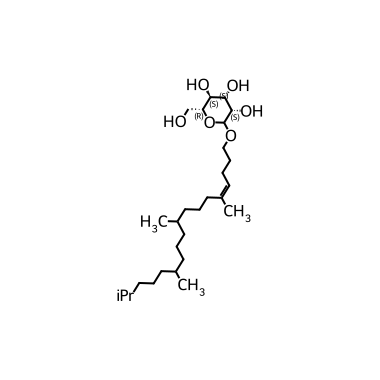 CC(=CCCCOC1O[C@H](CO)[C@@H](O)[C@H](O)[C@@H]1O)CCCC(C)CCCC(C)CCCC(C)C